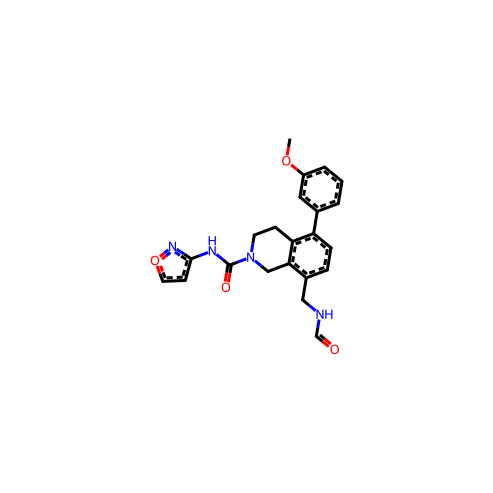 COc1cccc(-c2ccc(CNC=O)c3c2CCN(C(=O)Nc2ccon2)C3)c1